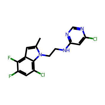 Cc1cc2c(F)c(F)cc(Cl)c2n1CCNc1cc(Cl)ncn1